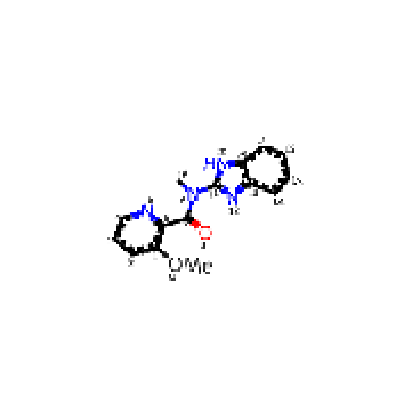 COc1cccnc1C(=O)N(C)c1nc2ccccc2[nH]1